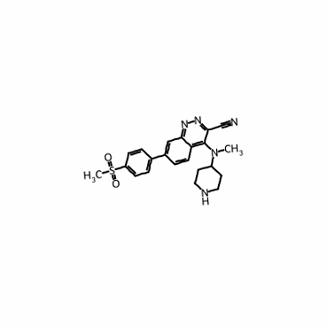 CN(c1c(C#N)nnc2cc(-c3ccc(S(C)(=O)=O)cc3)ccc12)C1CCNCC1